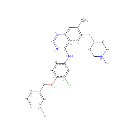 COc1cc2ncnc(Nc3ccc(OCc4cccc(F)c4)c(Cl)c3)c2cc1OC1CCN(C)CC1